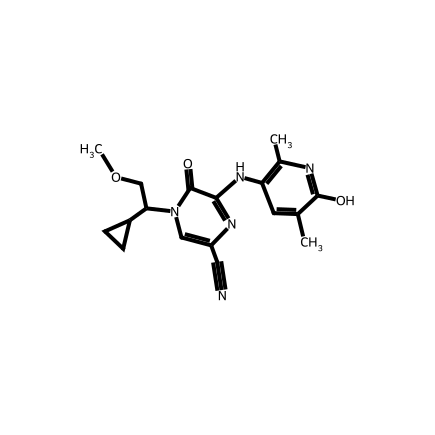 COCC(C1CC1)n1cc(C#N)nc(Nc2cc(C)c(O)nc2C)c1=O